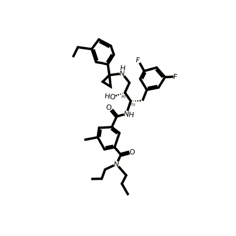 CCCN(CCC)C(=O)c1cc(C)cc(C(=O)N[C@@H](Cc2cc(F)cc(F)c2)[C@H](O)CNC2(c3cccc(CC)c3)CC2)c1